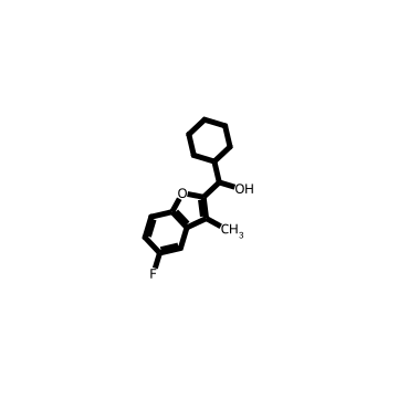 Cc1c(C(O)C2CCCCC2)oc2ccc(F)cc12